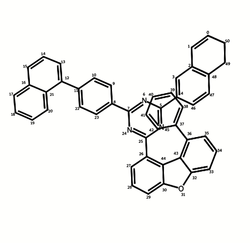 C1=Cc2cc(-c3nc(-c4ccc(-c5cccc6ccccc56)cc4)nc(-c4cccc5oc6cccc(-c7ccccc7)c6c45)n3)ccc2CC1